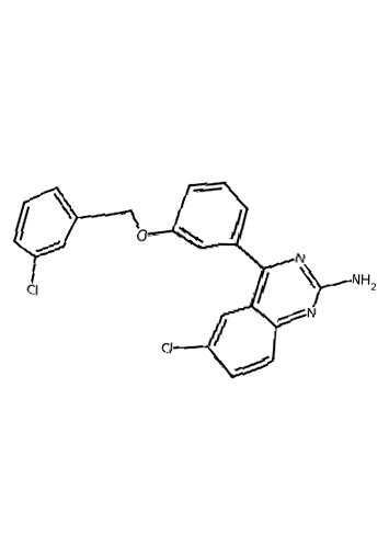 Nc1nc(-c2cccc(OCc3cccc(Cl)c3)c2)c2cc(Cl)ccc2n1